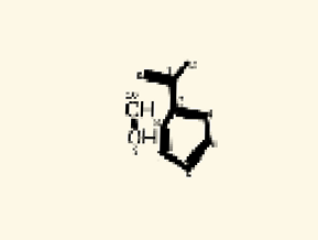 C=C(C)c1ccccc1.OO